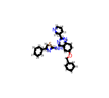 c1ccc(COc2ccc3nc(-c4cccnc4)nc(Nc4nc(-c5ccccc5)cs4)c3c2)cc1